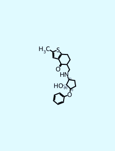 Cc1cc2c(s1)CCC(CN[C@H]1CC[C@@H](Oc3ccccc3)[C@@H]1O)C2=O